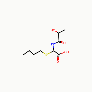 CCCCSC(NC(=O)C(C)O)C(=O)O